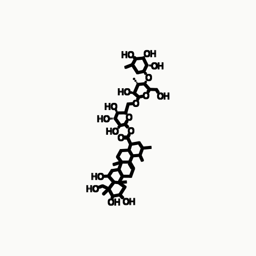 CC1CC(C(=O)OC2OC(COC3OC(CO)[C@@H](O[C@H]4CC(C)C(O)[C@H](O)[C@@H]4O)[C@@H](C)[C@@H]3O)[C@@H](O)[C@@H](O)[C@@H]2O)C2CCC3(C)C(=CCC4C3CC(O)C3C(C)(CO)C(O)C(O)CC43C)C2C1C